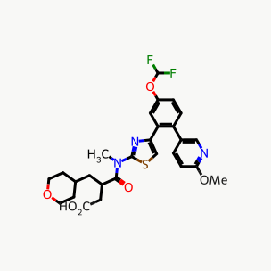 COc1ccc(-c2ccc(OC(F)F)cc2-c2csc(N(C)C(=O)C(CC(=O)O)CC3CCOCC3)n2)cn1